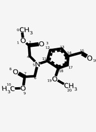 COC(=O)CN(CC(=O)OC)c1ccc(C=O)cc1OC